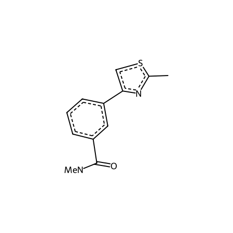 CNC(=O)c1cccc(-c2csc(C)n2)c1